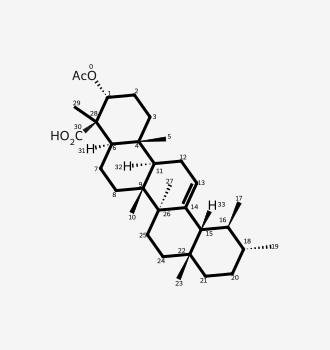 CC(=O)O[C@@H]1CC[C@@]2(C)[C@@H](CC[C@]3(C)[C@@H]2CC=C2[C@@H]4[C@@H](C)[C@H](C)CC[C@]4(C)CC[C@]23C)[C@@]1(C)C(=O)O